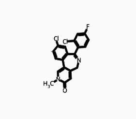 Cn1cc2c(cc1=O)CN=C(c1ccc(F)cc1Cl)c1cc(Cl)[c]cc1-2